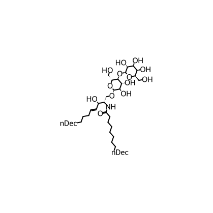 CCCCCCCCCCCCC/C=C/[C@@H](O)[C@H](CO[C@@H]1O[C@H](CO)[C@@H](O[C@@H]2O[C@H](CO)[C@H](O)[C@H](O)[C@H]2O)[C@H](O)[C@H]1O)NC(=O)CCCCCCCCCCCCCCCCC